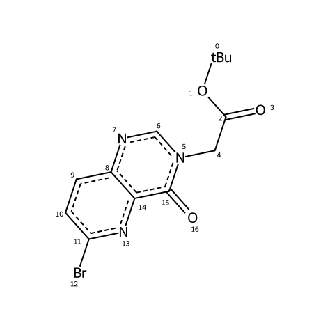 CC(C)(C)OC(=O)Cn1cnc2ccc(Br)nc2c1=O